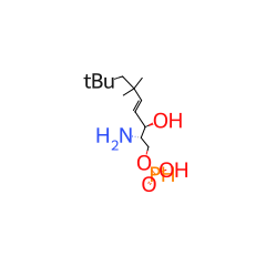 CC(C)(C)CC(C)(C)/C=C/[C@@H](O)[C@@H](N)CO[PH](=O)O